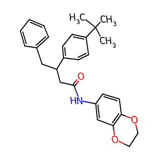 CC(C)(C)c1ccc(C(CC(=O)Nc2ccc3c(c2)OCCO3)Cc2ccccc2)cc1